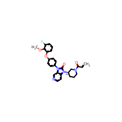 C=CC(=O)N1CCC[C@@H](n2c(=O)n(-c3ccc(Oc4cccc(F)c4OC)cc3)c3cnccc32)C1